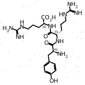 N=C(N)NCCC[C@H](NC(=O)[C@H](CCCNC(=N)N)NC(=O)[C@@H](N)Cc1ccc(O)cc1)C(=O)O